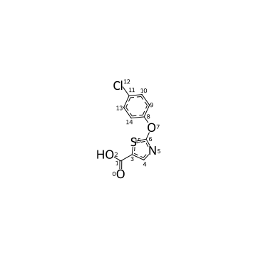 O=C(O)c1cnc(Oc2ccc(Cl)cc2)s1